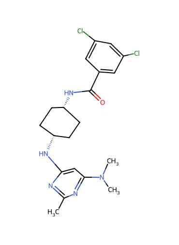 Cc1nc(N[C@H]2CC[C@@H](NC(=O)c3cc(Cl)cc(Cl)c3)CC2)cc(N(C)C)n1